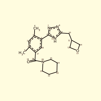 Cc1cc(C)c(-c2nnc(CC3COC3)[nH]2)cc1C(=O)N1CC[CH]CC1